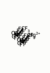 O=S(=O)([O-])C(F)(F)C(F)(F)C(F)(F)C(F)(F)C(F)(F)F.O=S(=O)([O-])C(F)(F)C(F)(F)C(F)(F)C(F)(F)C(F)(F)F.[Hg+2]